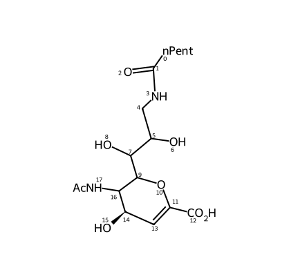 CCCCCC(=O)NCC(O)C(O)C1OC(C(=O)O)=C[C@@H](O)C1NC(C)=O